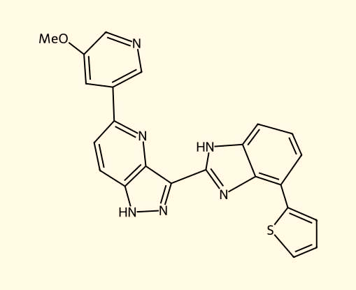 COc1cncc(-c2ccc3[nH]nc(-c4nc5c(-c6cccs6)cccc5[nH]4)c3n2)c1